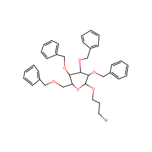 BrCCCOC1OC(COCc2ccccc2)C(OCc2ccccc2)C(OCc2ccccc2)C1OCc1ccccc1